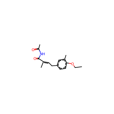 CCOc1ccc(C/C=C(\C)C(=O)NC(C)=O)cc1C